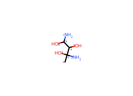 CC(N)(O)C(O)C(N)O